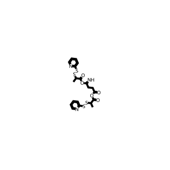 CC(SSc1ccccn1)C(=O)OC(=N)CCC(=O)OC(=O)C(C)SSc1ccccn1